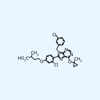 CC(CCOc1ccc(-c2nc3c(OC4(C)CC4)ncnc3n2Cc2cccc(Cl)c2)c(Cl)c1)C(=O)O